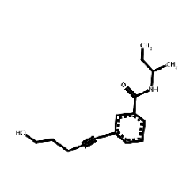 CCC(C)NC(=O)c1cccc(C#CCCCO)c1